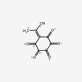 CC(C#N)=C1C(=O)C(=O)C(=O)C(=O)C1=O